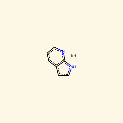 [KH].c1cnc2[nH]ccc2c1